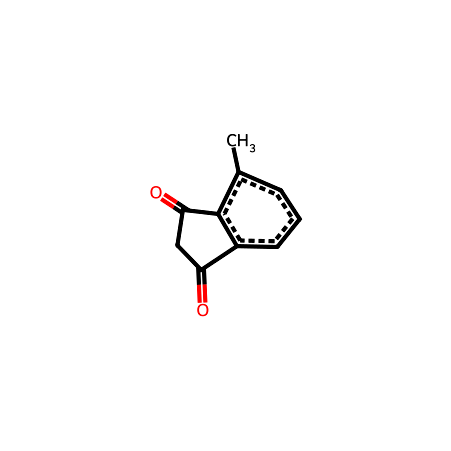 Cc1cccc2c1C(=O)CC2=O